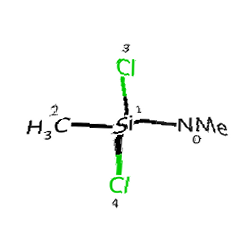 CN[Si](C)(Cl)Cl